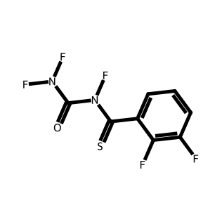 O=C(N(F)F)N(F)C(=S)c1cccc(F)c1F